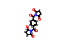 O=C1CCC(=O)N1C(=O)c1ccc(C(=O)N2C(=O)CCC2=O)cc1